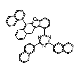 C1=CC2=C(c3cccc4ccccc34)c3oc4cccc(-c5nc(-c6ccc7ccccc7c6)nc(-c6ccc7ccccc7c6)n5)c4c3CC2C=C1